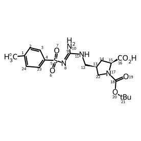 Cc1ccc(S(=O)(=O)/N=C(\N)NC[C@H]2C[C@@H](C(=O)O)N(C(=O)OC(C)(C)C)C2)cc1